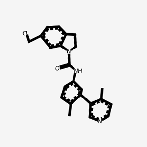 Cc1ccncc1-c1cc(NC(=O)N2CCc3ccc(CCl)cc32)ccc1C